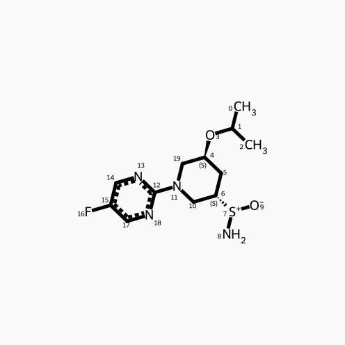 CC(C)O[C@H]1C[C@H]([S+](N)[O-])CN(c2ncc(F)cn2)C1